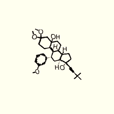 COc1cccc([C@H]2C[C@@]3(C)[C@@H](CC[C@@]3(O)C#CC(C)(C)C)[C@@H]3CC[C@@]4(O)CC(OC)(OC)CCC4=C32)c1